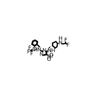 O=[N+]([O-])c1cnc(NCc2ccccc2OC(F)(F)F)nc1NC[C@H]1CC[C@H](NCC(F)F)CC1